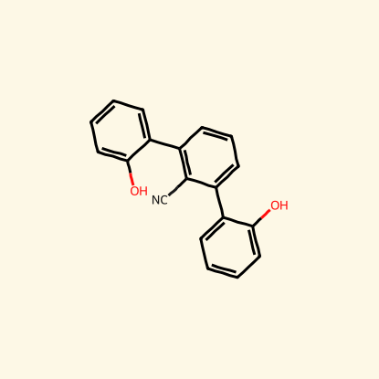 N#Cc1c(-c2ccccc2O)cccc1-c1ccccc1O